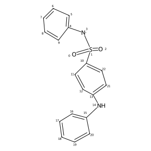 O=S(=O)([N]c1ccccc1)c1ccc(Nc2ccccc2)cc1